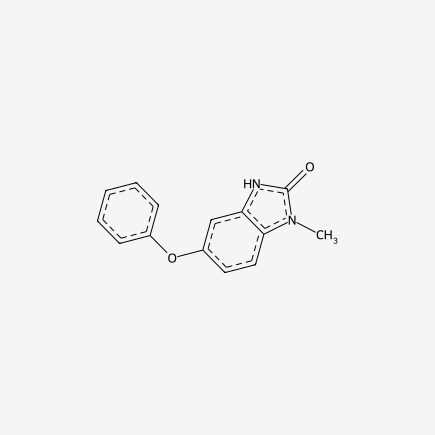 Cn1c(=O)[nH]c2cc(Oc3ccccc3)ccc21